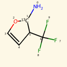 N[13CH]1OC=CC1C(F)(F)F